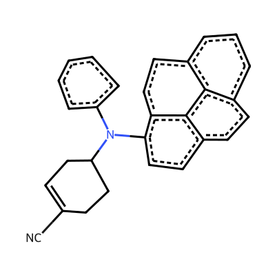 N#CC1=CCC(N(c2ccccc2)c2ccc3ccc4cccc5ccc2c3c45)CC1